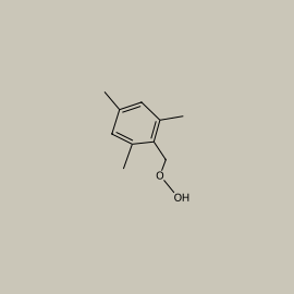 Cc1cc(C)c(COO)c(C)c1